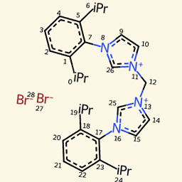 CC(C)c1cccc(C(C)C)c1-n1cc[n+](C[n+]2ccn(-c3c(C(C)C)cccc3C(C)C)c2)c1.[Br-].[Br-]